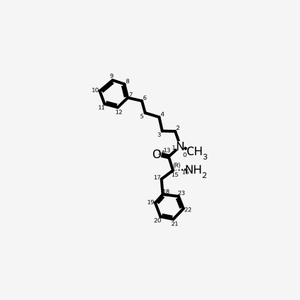 CN(CCCCCc1ccccc1)C(=O)[C@H](N)Cc1ccccc1